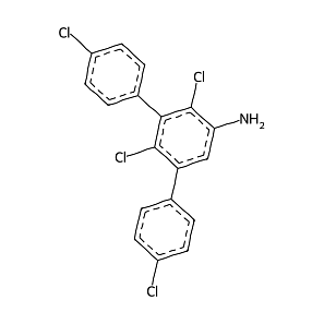 Nc1cc(-c2ccc(Cl)cc2)c(Cl)c(-c2ccc(Cl)cc2)c1Cl